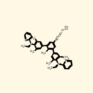 CC=[N+](c1ccccn1)c1c(C)cc(-c2cc(Br)cc(-c3cc(C)c([N+](=CC)c4ccccn4)c(C)c3)c2C)cc1C.[Cl-].[Cl-].[Cl-].[Cl-].[Cu].[Cu]